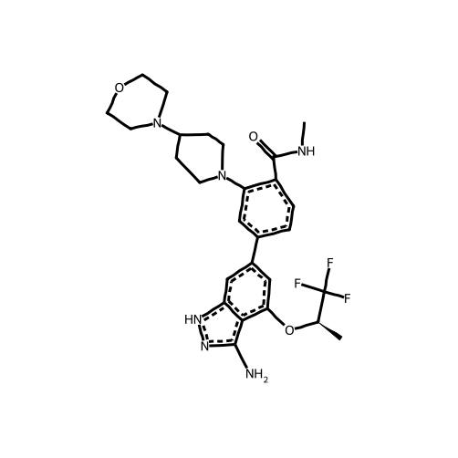 CNC(=O)c1ccc(-c2cc(O[C@H](C)C(F)(F)F)c3c(N)n[nH]c3c2)cc1N1CCC(N2CCOCC2)CC1